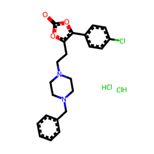 Cl.Cl.O=c1oc(CCN2CCN(Cc3ccccc3)CC2)c(-c2ccc(Cl)cc2)o1